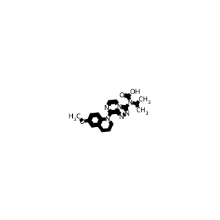 COc1ccc2c(c1)CCCN2c1nccn2c(N(C(=O)O)C(C)C)nnc12